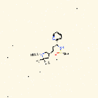 CC1(C)C[C@H](CC[C@H](N[S@@+]([O-])C(C)(C)C)c2ccccn2)CN1C(=O)O